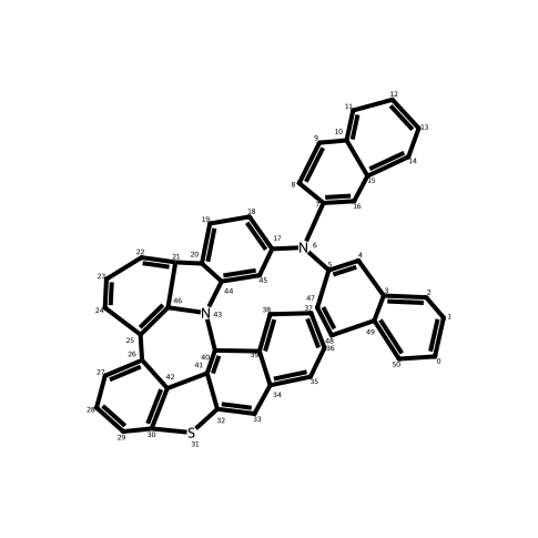 c1ccc2cc(N(c3ccc4ccccc4c3)c3ccc4c5cccc6c7cccc8sc9cc%10ccccc%10c(c9c87)n(c4c3)c65)ccc2c1